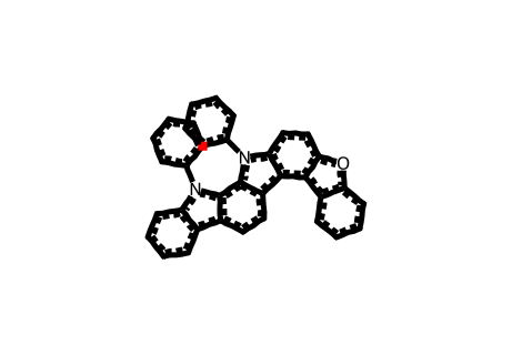 c1ccc(-n2c3ccccc3c3ccc4c5c6c(ccc5n(-c5ccccc5)c4c32)oc2ccccc26)cc1